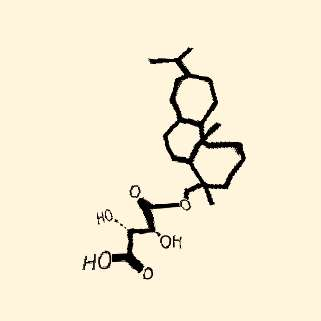 CC(C)C1CCC2C(CCC3C(C)(COC(=O)[C@H](O)[C@@H](O)C(=O)O)CCCC23C)C1